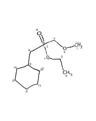 CCOP(=O)(COC)CC1CCCCC1